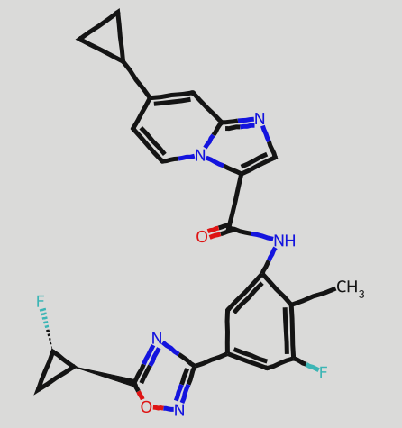 Cc1c(F)cc(-c2noc([C@H]3C[C@@H]3F)n2)cc1NC(=O)c1cnc2cc(C3CC3)ccn12